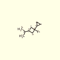 CC(C)N1CC(F)(C2CC2)C1